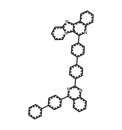 c1ccc(-c2ccc(-c3nc(-c4ccc(-c5ccc(-c6nc7ccccc7c7nc8ccccn8c67)cc5)cc4)nc4ccccc34)cc2)cc1